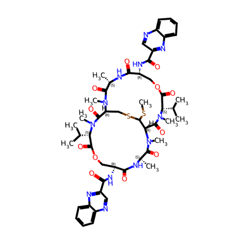 CSC1SC[C@H]2C(=O)N(C)[C@@H](C(C)C)C(=O)OC[C@@H](NC(=O)c3cnc4ccccc4n3)C(=O)N[C@@H](C)C(=O)N(C)[C@@H]1C(=O)N(C)[C@@H](C(C)C)C(=O)OC[C@@H](NC(=O)c1cnc3ccccc3n1)C(=O)N[C@@H](C)C(=O)N2C